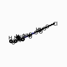 Nc1ncnc2c1c(-c1ccc(Oc3ccccc3)cc1)nn2[C@@H]1CCCN(C(=O)/C=C/CNC(=O)OC/C=C/COCCOC(=O)NCCOCCOCCCCCCCl)C1